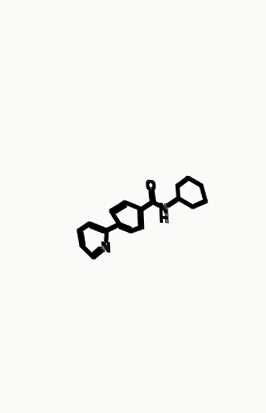 O=C(NC1CCCCC1)c1ccc(-c2ccccn2)cc1